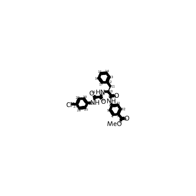 COC(=O)c1ccc(NC(=O)[C@H](Cc2ccccc2)NC(=O)C(=O)Nc2ccc(Cl)cc2)cc1